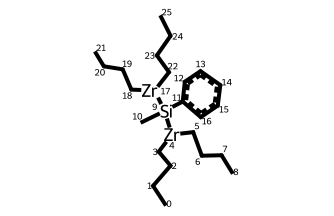 CCC[CH2][Zr]([CH2]CCC)[Si](C)(c1ccccc1)[Zr]([CH2]CCC)[CH2]CCC